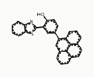 Oc1ccc(-c2cc3cccc4ccc5cccc2c5c43)cc1-c1nc2ccccc2s1